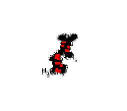 CC(C)(C)c1ccc(N(c2ccc3c(c2)C(c2ccccc2)(c2ccccc2)c2c(-c4ccc(-c5ccc(N(c6ccc7c(c6)C(C)(C)c6ccccc6-7)c6cccc7c6-c6ccccc6C76c7ccccc7-c7c(N(c8ccc(-c9ccccc9)cc8)c8ccc9c(c8)C(C)(C)c8ccccc8-9)cccc76)cc5)cc4)cccc2-3)c2cccc3c2-c2ccccc2C32c3ccccc3-c3ccccc32)cc1